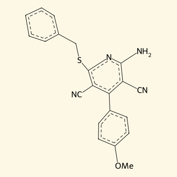 COc1ccc(-c2c(C#N)c(N)nc(SCc3ccccc3)c2C#N)cc1